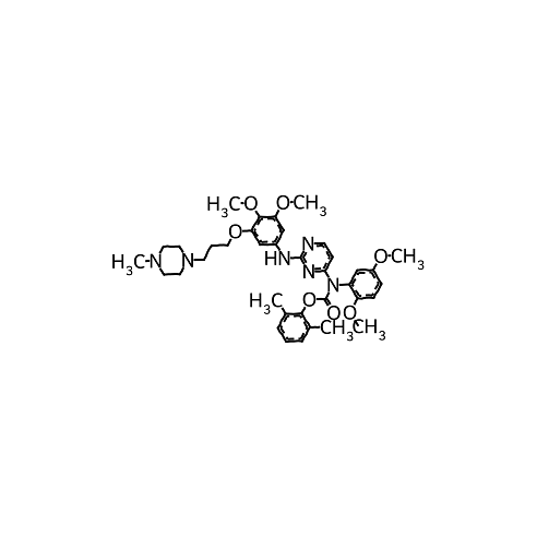 COc1ccc(OC)c(N(C(=O)Oc2c(C)cccc2C)c2ccnc(Nc3cc(OC)c(OC)c(OCCCN4CCN(C)CC4)c3)n2)c1